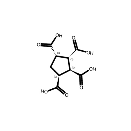 O=C(O)[C@@H]1[C@@H](C(=O)O)[C@@H](C(=O)O)C[C@@H]1C(=O)O